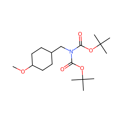 COC1CCC(CN(C(=O)OC(C)(C)C)C(=O)OC(C)(C)C)CC1